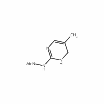 CNNC1=NC=C(C)CN1